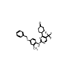 Cc1cc(SCc2ccccc2)ccc1Nc1ncc(C(F)(F)F)c(C2CCC(=O)CC2)n1